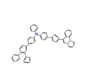 C1=CC2C=C(c3ccc(-c4ccc(N(c5ccccc5)c5ccc(-c6ccc(-c7ccccc7)c(-c7ccccc7)c6)cc5)cc4)cc3)c3ccccc3C2C=C1